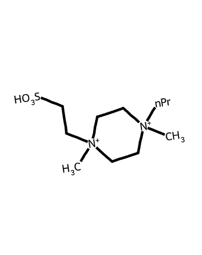 CCC[N+]1(C)CC[N+](C)(CCS(=O)(=O)O)CC1